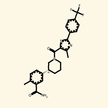 Cc1ccc([C@H]2CCCN(C(=O)c3sc(-c4ccc(C(F)(F)F)cc4)nc3C)C2)cc1C(N)=O